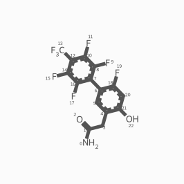 NC(=O)Cc1cc(-c2c(F)c(F)c(C(F)(F)F)c(F)c2F)c(F)cc1O